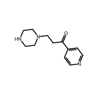 O=C(CCN1CCNCC1)c1ccncc1